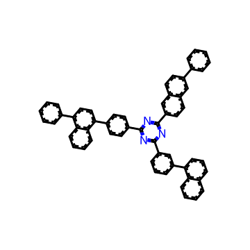 c1ccc(-c2ccc3cc(-c4nc(-c5ccc(-c6ccc(-c7ccccc7)c7ccccc67)cc5)nc(-c5cccc(-c6cccc7ccccc67)c5)n4)ccc3c2)cc1